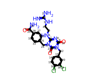 N=C(N)NCCNc1nc(=O)n(Cc2ccc(Cl)c(Cl)c2)c(=O)n1Cc1ccc(C(N)=O)cc1